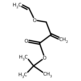 C=COCC(=C)C(=O)OC(C)(C)C